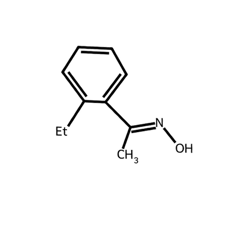 CCc1ccccc1/C(C)=N/O